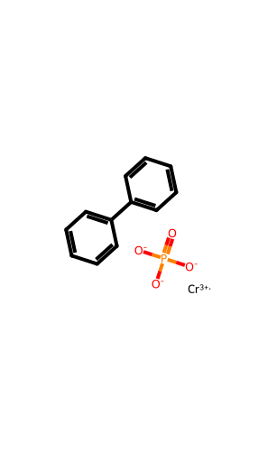 O=P([O-])([O-])[O-].[Cr+3].c1ccc(-c2ccccc2)cc1